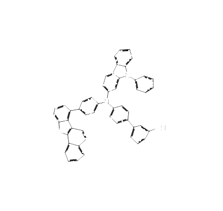 Cc1cccc(-c2ccc(N(c3ccc(-c4cccc5oc6c7ccccc7ccc6c45)cc3)c3ccc4c5ccccc5n(-c5ccccc5)c4c3)cc2)c1